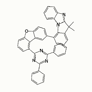 CC1(C)c2cccc(-c3ccc4oc5cccc(-c6nc(-c7ccccc7)nc(-c7ccccc7)n6)c5c4c3)c2-n2c1nc1ccccc12